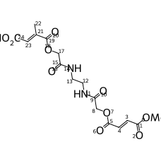 COC(=O)C=CC(=O)OCC(=O)NCCNC(=O)COC(=O)C(C)=CC(=O)O